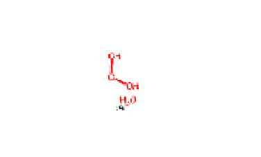 O.OOO.[Al]